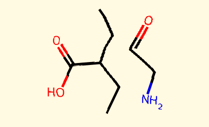 CCC(CC)C(=O)O.NCC=O